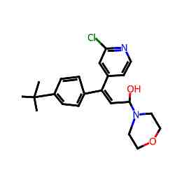 CC(C)(C)c1ccc(C(=CC(O)N2CCOCC2)c2ccnc(Cl)c2)cc1